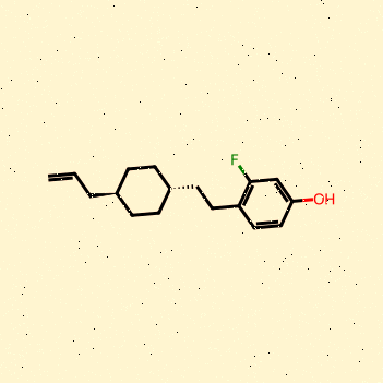 C=CC[C@H]1CC[C@H](CCc2ccc(O)cc2F)CC1